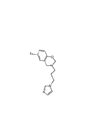 CCc1ccc2c(c1)CN(CCCn1ccnc1)CO2